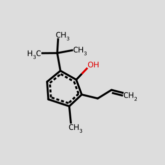 C=CCc1c(C)ccc(C(C)(C)C)c1O